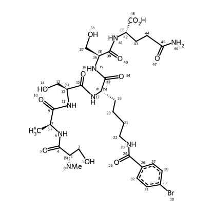 CN[C@@H](CO)C(=O)N[C@@H](C)C(=O)N[C@@H](CO)C(=O)N[C@@H](CCCCNC(=O)c1ccc(Br)cc1)C(=O)N[C@@H](CO)C(=O)N[C@@H](CCC(N)=O)C(=O)O